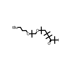 CC(C)(C)CCCOC(C)(C)COC(C)(C)CC(C)(C)C(C)(C)C(=O)C(C)(C)I